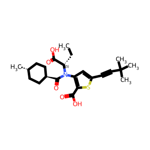 CC[C@@H](C(=O)O)N(c1cc(C#CC(C)(C)C)sc1C(=O)O)C(=O)[C@H]1CC[C@H](C)CC1